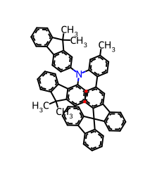 Cc1ccc(-c2ccc3c(c2)-c2ccccc2C32c3ccccc3-c3ccccc32)c(N(c2ccc3c(c2)C(C)(C)c2ccccc2-3)c2cccc3c2-c2ccccc2C3(C)C)c1